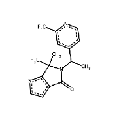 CC(c1ccnc(C(F)(F)F)c1)N1C(=O)c2ccsc2C1(C)C